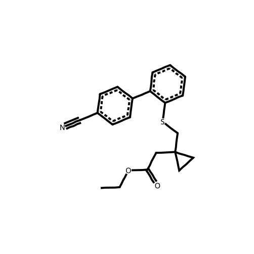 CCOC(=O)CC1(CSc2ccccc2-c2ccc(C#N)cc2)CC1